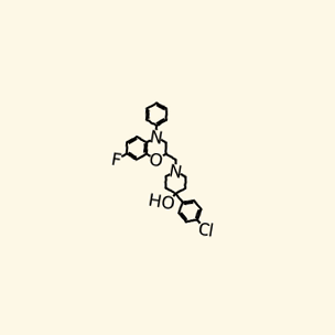 OC1(c2ccc(Cl)cc2)CCN(CC2CN(c3ccccc3)c3ccc(F)cc3O2)CC1